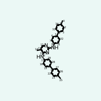 Cc1ccc(-c2ccc(Nc3ncc(C)c(Nc4ccc(-c5ccc(C)cc5)cc4)n3)cc2)cc1